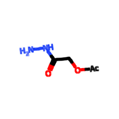 CC(=O)OCC(=O)NN